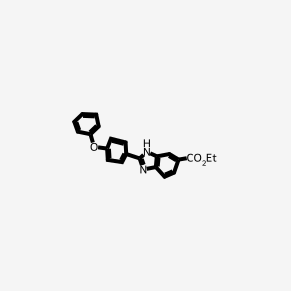 CCOC(=O)c1ccc2nc(-c3ccc(Oc4ccccc4)cc3)[nH]c2c1